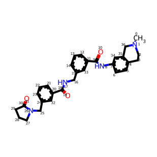 CN1CCc2ccc(NC(=O)c3cccc(CNC(=O)c4cccc(CN5CCCC5=O)c4)c3)cc2C1